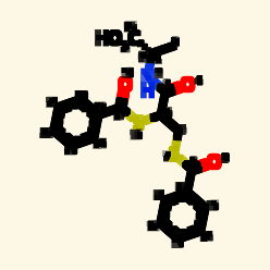 C[C@H](NC(=O)C(CSC(=O)c1ccccc1)SC(=O)c1ccccc1)C(=O)O